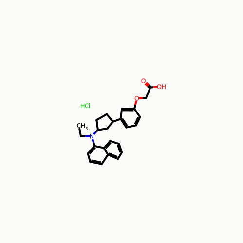 CCN(c1cccc2ccccc12)C1CCC(c2cccc(OCC(=O)O)c2)C1.Cl